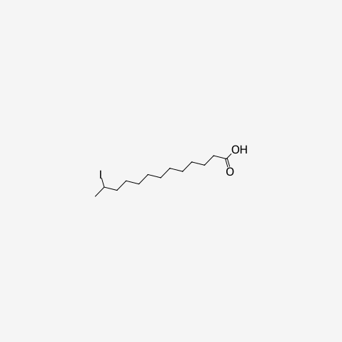 CC(I)CCCCCCCCCCC(=O)O